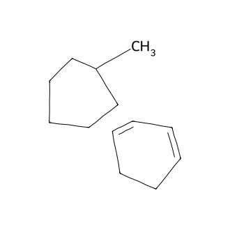 C1=CCCC=C1.CC1CCCCC1